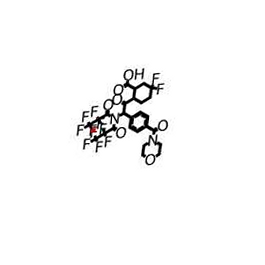 O=C(O)C1CC(F)(F)CCC1C(=O)C(c1ccc(C(=O)N2CCOCC2)cc1)N(C(=O)C(F)(F)C(F)(F)F)C(=O)C(F)(F)C(F)(F)F